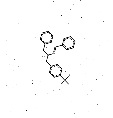 FC(F)(F)c1ccc(CN(Cc2ccccc2)/N=C/c2ccccc2)cc1